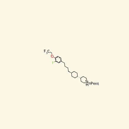 CCCCC[SiH]1CCC([C@H]2CC[C@H](CCCCc3ccc(OCC(F)(F)F)c(F)c3)CC2)CC1